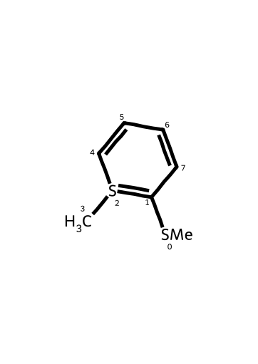 CSC1=S(C)C=CC=C1